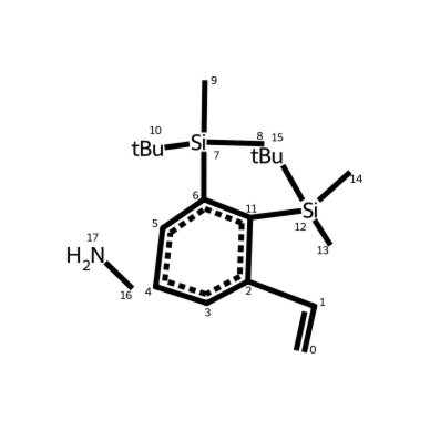 C=Cc1cccc([Si](C)(C)C(C)(C)C)c1[Si](C)(C)C(C)(C)C.CN